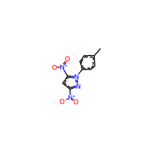 Cc1ccc(-n2nc([N+](=O)[O-])cc2[N+](=O)[O-])cc1